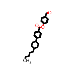 CCCCCC1CCC(c2ccc(C(=O)Oc3ccc(C=O)cc3)cc2)CC1